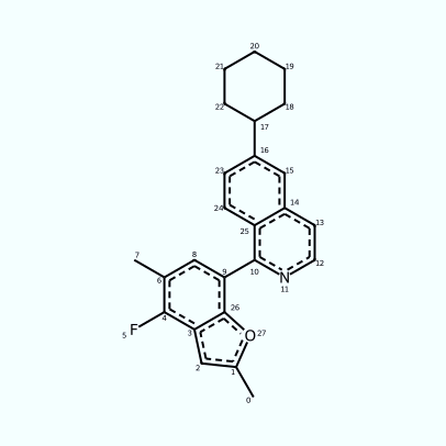 Cc1cc2c(F)c(C)cc(-c3nccc4cc(C5CCCCC5)ccc34)c2o1